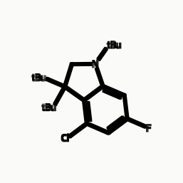 CC(C)(C)N1CC(C(C)(C)C)(C(C)(C)C)c2c(Cl)cc(F)cc21